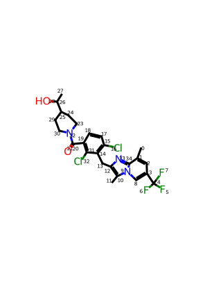 Cc1cc(C(F)(F)F)cn2c(C)c(Cc3c(Cl)ccc(C(=O)N4CCC(C(C)O)CC4)c3Cl)nc12